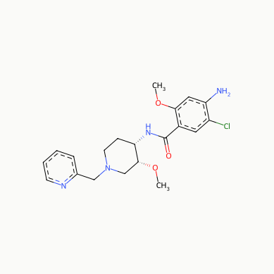 COc1cc(N)c(Cl)cc1C(=O)N[C@H]1CCN(Cc2ccccn2)C[C@H]1OC